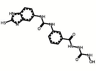 O=C(NO)NNC(=O)c1cccc(NC(=O)Nc2ccc3[nH]c(S)nc3c2)c1